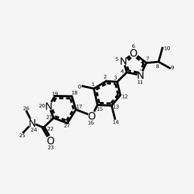 Cc1cc(-c2noc(C(C)C)n2)cc(C)c1Oc1ccnc(C(=O)N(C)C)c1